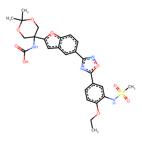 CCOc1ccc(-c2nc(-c3ccc4oc(C5(NC(=O)O)COC(C)(C)OC5)cc4c3)no2)cc1NS(C)(=O)=O